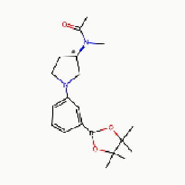 CC(=O)N(C)[C@@H]1CCN(c2cccc(B3OC(C)(C)C(C)(C)O3)c2)C1